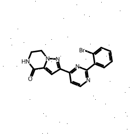 O=C1NCCn2nc(-c3ccnc(-c4ccccc4Br)n3)cc21